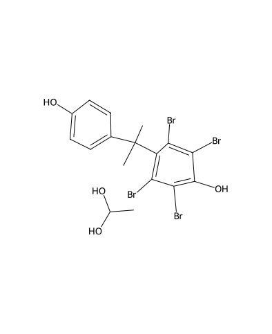 CC(C)(c1ccc(O)cc1)c1c(Br)c(Br)c(O)c(Br)c1Br.CC(O)O